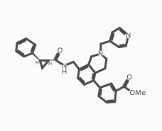 COC(=O)c1cccc(-c2ccc(CNC(=O)[C@@H]3C[C@H]3c3ccccc3)c3c2CCN(Cc2ccncc2)C3)c1